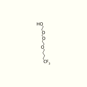 OCCOCOCCOCCCCC(F)(F)F